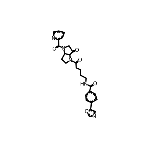 O=C(NCCCCC(=O)N1CCC2C1C(=O)CN2C(=O)c1ccccn1)c1ccc(-c2cnco2)cc1